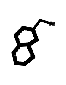 CC(=O)Cc1ccc2[c]cccc2c1